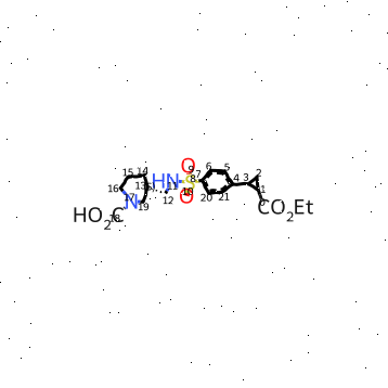 CCOC(=O)C1CC1c1ccc(S(=O)(=O)NC[C@H]2CCCN(C(=O)O)C2)cc1